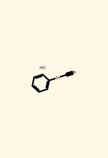 Cl.N#[C][Zn][c]1ccccc1